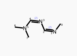 C/N=C\N=C/N(C)C